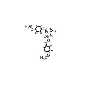 COc1ccc(COC(=O)CC2(OCc3ccc(OC)cc3)CC2)cc1